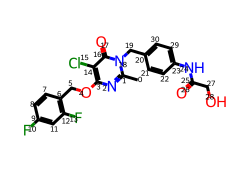 Cc1nc(OCc2ccc(F)cc2F)c(Cl)c(=O)n1Cc1ccc(NC(=O)CO)cc1